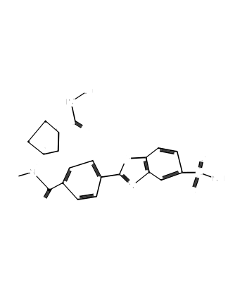 CCNC(=O)[C@H]1CC[C@@H](N(C)C(=O)c2ccc(-c3nc4cc(S(N)(=O)=O)ccc4o3)cc2)C1